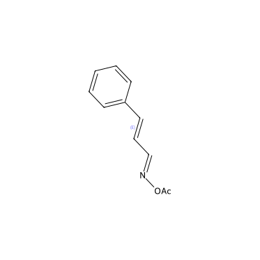 CC(=O)ON=C/C=C/c1ccccc1